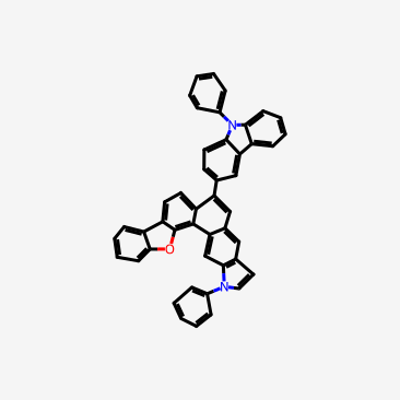 c1ccc(-n2ccc3cc4cc(-c5ccc6c(c5)c5ccccc5n6-c5ccccc5)c5ccc6c7ccccc7oc6c5c4cc32)cc1